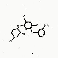 CC(=O)N1CC[C@@H](Nc2nc(Nc3cncc(C)c3)c(C#N)cc2F)C(N)C1